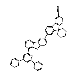 N#Cc1ccc2c(c1)-c1ccc(-c3ccc4sc5c(-c6cc(C7=CC=CCC7)nc(-c7ccccc7)n6)cccc5c4c3)cc1C21CCCCC1